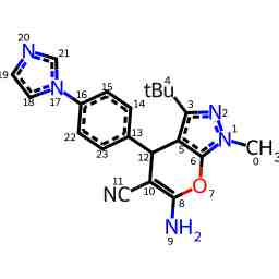 Cn1nc(C(C)(C)C)c2c1OC(N)=C(C#N)C2c1ccc(-n2ccnc2)cc1